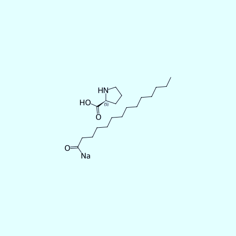 CCCCCCCCCCCCC[C](=O)[Na].O=C(O)[C@@H]1CCCN1